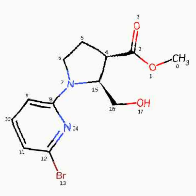 COC(=O)[C@@H]1CCN(c2cccc(Br)n2)[C@@H]1CO